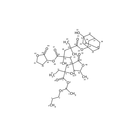 CCCOC(C)OC(=O)C(C)(CC)CC1(CC(C)(CC(C)(C)C(=O)OC23CC4CC(CC(O)(C4)C2)C3)C(=O)OC2CCOC2=O)CC(C)OC1=O